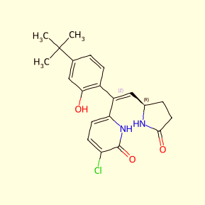 CC(C)(C)c1ccc(/C(=C/[C@H]2CCC(=O)N2)c2ccc(Cl)c(=O)[nH]2)c(O)c1